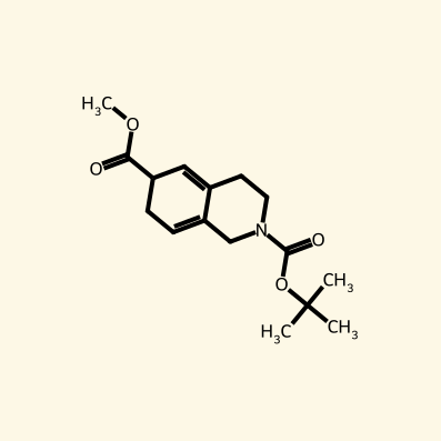 COC(=O)C1C=C2CCN(C(=O)OC(C)(C)C)CC2=CC1